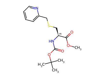 COC(=O)[C@H](CSCc1ccccn1)NC(=O)OC(C)(C)C